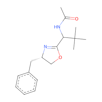 CC(=O)NC(C1=N[C@@H](Cc2ccccc2)CO1)C(C)(C)C